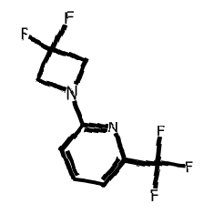 FC1(F)CN(c2cccc(C(F)(F)F)n2)C1